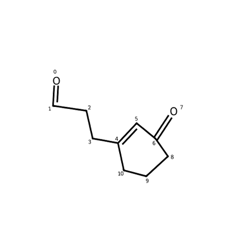 O=CCCC1=CC(=O)CCC1